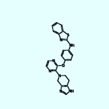 c1ccc2sc(Nc3ccc(Oc4nccnc4N4CCc5[nH]cnc5C4)cc3)nc2c1